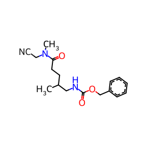 CC(CCC(=O)N(C)CC#N)CNC(=O)OCc1ccccc1